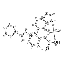 Cc1nc2cc(-c3ccccc3)nn2c(-c2ccc3cc[nH]c3c2)c1C(OC(C)(C)C)C(=O)O